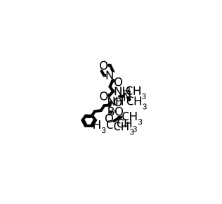 CN(C)C(=O)NC(CC(=O)N1CCOCC1)C(=O)NC(CCCc1ccccc1)B1OC(C)(C)C(C)(C)O1